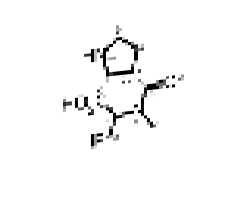 CC(C)C(C(=O)O)N(C)C(=O)[C@H]1CCNC1